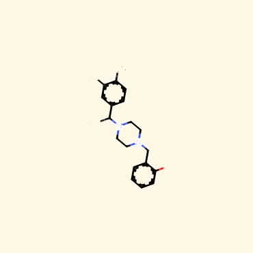 CCCCCC(c1ccc(C#N)c(C)c1)N1CCN(Cc2ccccc2O)CC1